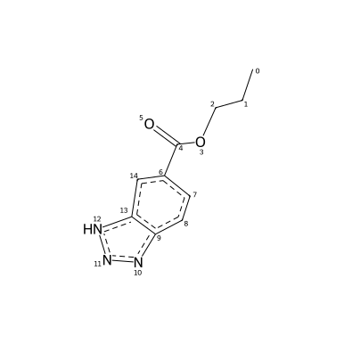 CCCOC(=O)c1ccc2nn[nH]c2c1